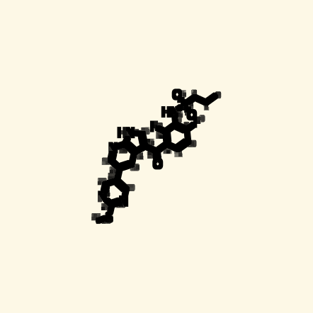 CCCS(=O)(=O)Nc1c(F)ccc(C(=O)c2c[nH]c3ncc(-c4cnc(SC)nc4)cc23)c1F